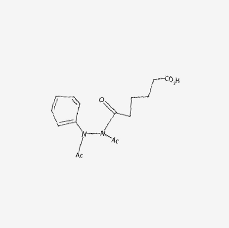 CC(=O)N(C(=O)CCCCC(=O)O)N(C(C)=O)c1ccccc1